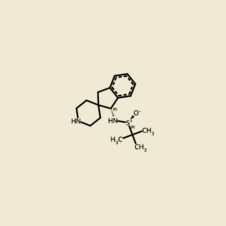 CC(C)(C)[S@+]([O-])N[C@H]1c2ccccc2CC12CCNCC2